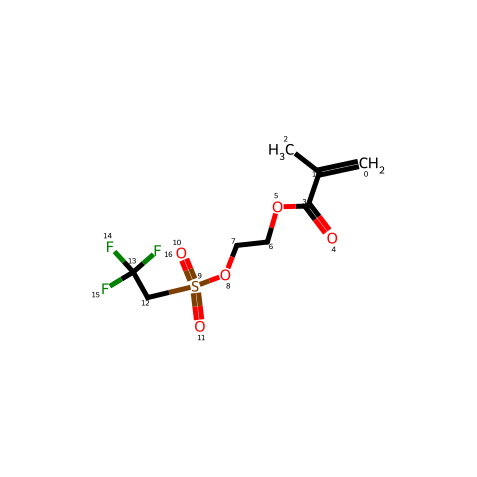 C=C(C)C(=O)OCCOS(=O)(=O)CC(F)(F)F